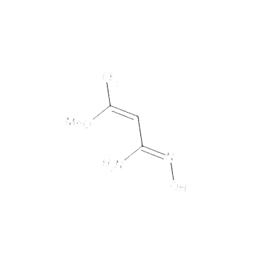 CO/C(=C\C(N)=N\O)C(F)(F)F